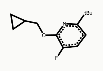 CC(C)(C)c1ccc(F)c(OCC2CC2)n1